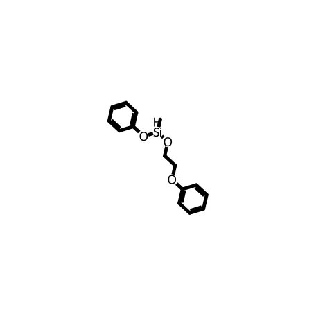 C[SiH](OCCOc1ccccc1)Oc1ccccc1